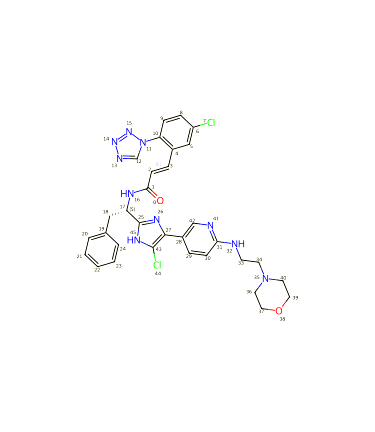 O=C(/C=C/c1cc(Cl)ccc1-n1cnnn1)N[C@@H](Cc1ccccc1)c1nc(-c2ccc(NCCN3CCOCC3)nc2)c(Cl)[nH]1